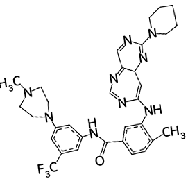 Cc1ccc(C(=O)Nc2cc(N3CCN(C)CC3)cc(C(F)(F)F)c2)cc1NC1=CC2N=C(N3CCCCC3)N=CC2=NC=N1